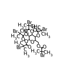 CC(C)(Br)C(=O)OCC1OC(OC(=O)C(C)(C)Br)C(OC(=O)C(C)(C)Br)C(OC(=O)C(C)(C)Br)C1OC(=O)C(C)(C)Br